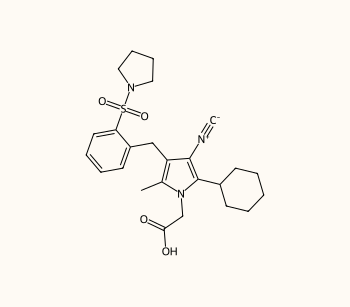 [C-]#[N+]c1c(Cc2ccccc2S(=O)(=O)N2CCCC2)c(C)n(CC(=O)O)c1C1CCCCC1